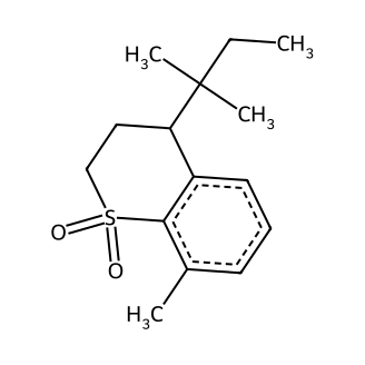 CCC(C)(C)C1CCS(=O)(=O)c2c(C)cccc21